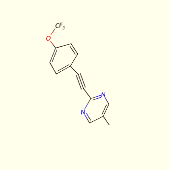 Cc1cnc(C#Cc2ccc(OC(F)(F)F)cc2)nc1